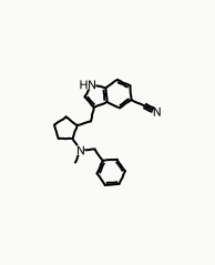 CN(Cc1ccccc1)C1CCCC1Cc1c[nH]c2ccc(C#N)cc12